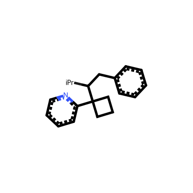 CC(C)[C](Cc1ccccc1)C1(c2ccccn2)CCC1